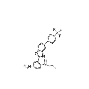 CCCNc1ccc(N)cc1-c1nc2cc(-c3ccc(C(F)(F)F)cc3)ccc2o1